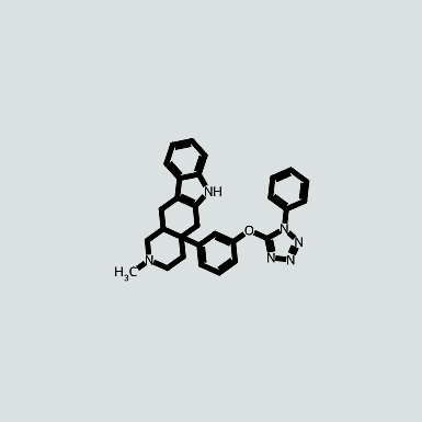 CN1CCC2(c3cccc(Oc4nnnn4-c4ccccc4)c3)Cc3[nH]c4ccccc4c3CC2C1